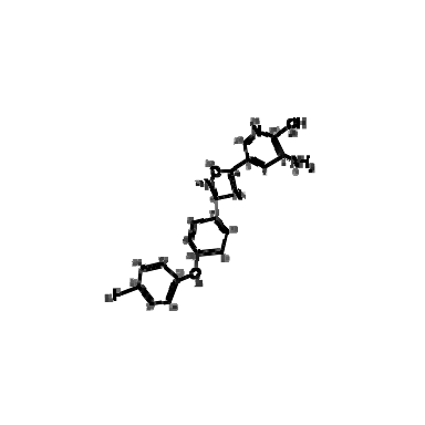 Nc1cc(-c2nc(-c3ccc(Oc4ccc(F)cc4)cc3)no2)cnc1O